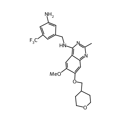 COc1cc2c(NCc3cc(N)cc(C(F)(F)F)c3)nc(C)nc2cc1OCC1CCOCC1